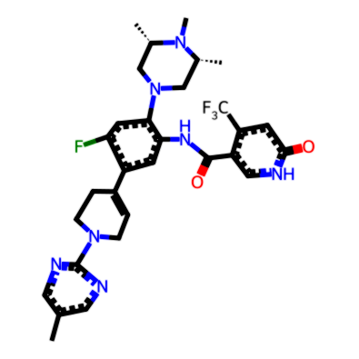 Cc1cnc(N2CC=C(c3cc(NC(=O)c4c[nH]c(=O)cc4C(F)(F)F)c(N4C[C@@H](C)N(C)[C@@H](C)C4)cc3F)CC2)nc1